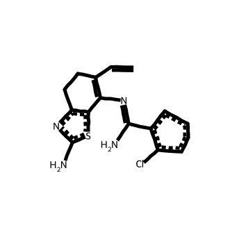 C=CC1=C(/N=C(\N)c2ccccc2Cl)c2sc(N)nc2CC1